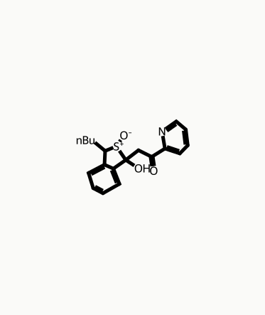 CCCCC1c2ccccc2C(O)(CC(=O)c2ccccn2)[S+]1[O-]